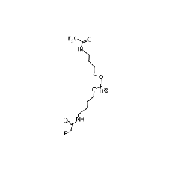 O=C(CF)NCCCCO[PH](=O)OCCCCNC(=O)C(F)(F)F